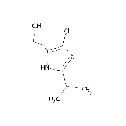 CCc1[nH]c(C(C)C)nc1Cl